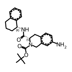 CC(C)(C)OC(=O)N1Cc2cc(N)ccc2C[C@H]1C(=O)N[C@@H]1CCCc2ccccc21